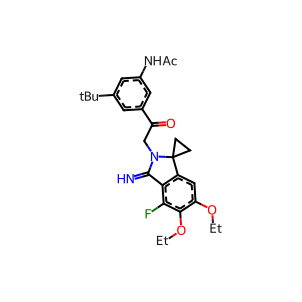 CCOc1cc2c(c(F)c1OCC)C(=N)N(CC(=O)c1cc(NC(C)=O)cc(C(C)(C)C)c1)C21CC1